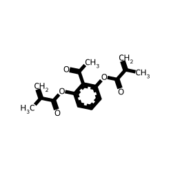 C=C(C)C(=O)Oc1cccc(OC(=O)C(=C)C)c1C(C)=O